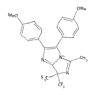 COc1ccc(C2=C(c3ccc(OC)cc3)[N+]3C(C)=NC(C(F)(F)F)(C(F)(F)F)C3=N2)cc1